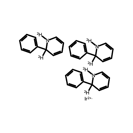 [2H]N1C=CC=CC1([2H])c1ccccc1.[2H]N1C=CC=CC1([2H])c1ccccc1.[2H]N1C=CC=CC1([2H])c1ccccc1.[Ir+2]